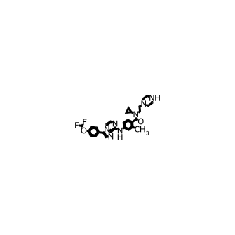 Cc1cc(Nc2nccn3c(-c4ccc(OC(F)F)cc4)cnc23)ccc1C(=O)N(CCN1CCNCC1)C1CC1